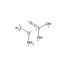 CON.O=S(O)O